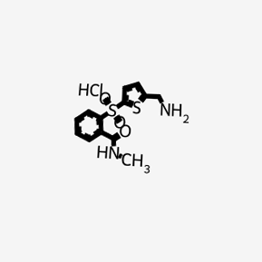 CNC(=O)c1ccccc1S(=O)(=O)c1ccc(CN)s1.Cl